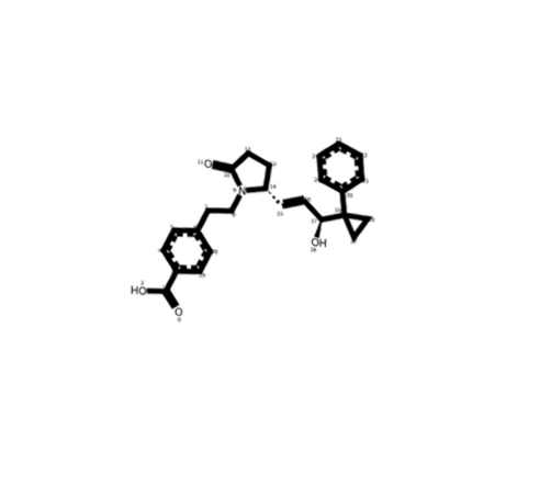 O=C(O)c1ccc(CCN2C(=O)CC[C@@H]2C=C[C@H](O)C2(c3ccccc3)CC2)cc1